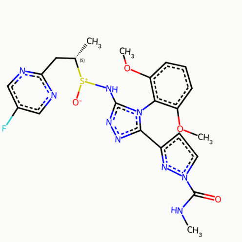 CNC(=O)n1ccc(-c2nnc(N[S+]([O-])[C@@H](C)Cc3ncc(F)cn3)n2-c2c(OC)cccc2OC)n1